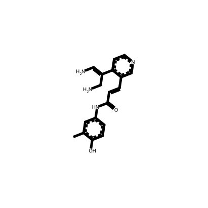 Cc1cc(NC(=O)/C=C/c2cnccc2/C(=C/N)CN)ccc1O